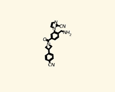 N#Cc1ccc(C2CN(C(=O)c3ccc(CN)c(-n4ccnc4C#N)c3)C2)cc1